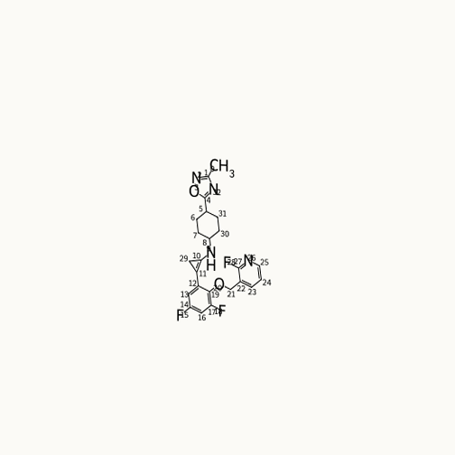 Cc1noc(C2CCC(NC3=C(c4cc(F)cc(F)c4OCc4cccnc4F)C3)CC2)n1